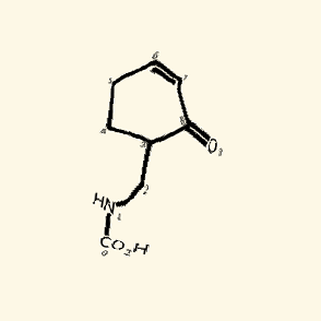 O=C(O)NCC1CCC=CC1=O